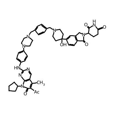 CC(=O)c1c(C)c2cnc(Nc3ccc(N4CCN(Cc5ccc(CN6CCC(O)(c7ccc8c(c7)CN(C7CCC(=O)NC7=O)C8=O)CC6)cc5)CC4)cc3)nc2n(C2CCCC2)c1=O